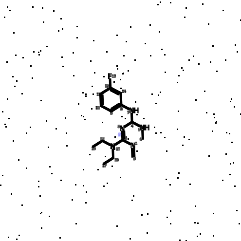 C=N/C(=N\C(NC)Nc1cccc(F)c1)N(CC)CC